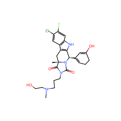 CN(CCO)CCCN1C(=O)N2[C@H](C3=CCCC(O)=C3)c3[nH]c4cc(F)c(Cl)cc4c3C[C@@]2(C)C1=O